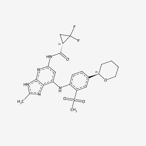 Cc1nc2c(Nc3ccc([C@H]4CCCCO4)cc3S(C)(=O)=O)cc(NC(=O)[C@@H]3CC3(F)F)nc2[nH]1